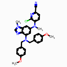 COc1ccc(CN(Cc2ccc(OC)cc2)c2cc(N(C)c3ccc(C#N)nc3Cl)cc3c2ncn3C)cc1